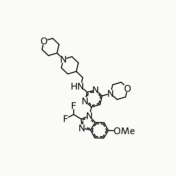 COc1ccc2nc(C(F)F)n(-c3cc(N4CCOCC4)nc(NCC4CCN(C5CCOCC5)CC4)n3)c2c1